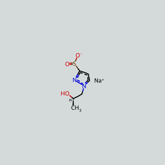 C[C@@H](O)Cn1ccc(S(=O)[O-])n1.[Na+]